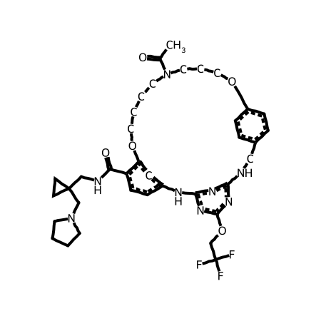 CC(=O)N1CCCCOc2cc(ccc2C(=O)NCC2(CN3CCCC3)CC2)Nc2nc(nc(OCC(F)(F)F)n2)NCc2ccc(cc2)OCCC1